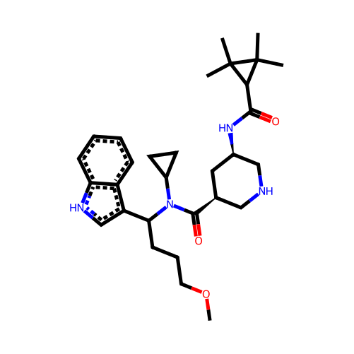 COCCCC(c1c[nH]c2ccccc12)N(C(=O)[C@@H]1CNC[C@H](NC(=O)C2C(C)(C)C2(C)C)C1)C1CC1